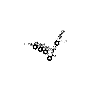 C[N+](C)(C)CCO.C[N+](C)(C)CCOC(=O)c1ccccc1O.O=C(O)c1ccccc1O.O=C(O)c1ccccc1O.O=C(O)c1ccccc1O.O=C(O)c1ccccc1O.[MgH2].[MgH2]